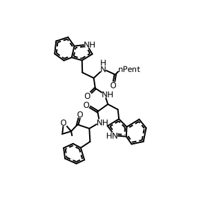 CCCCCC(=O)NC(Cc1c[nH]c2ccccc12)C(=O)NC(Cc1c[nH]c2ccccc12)C(=O)NC(Cc1ccccc1)C(=O)C1(C)CO1